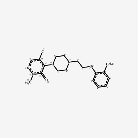 COc1ccccc1NCCN1CCN(c2c(Cl)cnn(C)c2=O)CC1